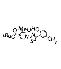 CO[C@@H]1CN(c2nc(-c3cc(C)ccc3O)cs2)CC[C@@H]1C(=O)OC(C)(C)C